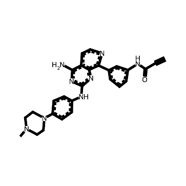 C#CC(=O)Nc1cccc(-c2nccc3c(N)nc(Nc4ccc(N5CCN(C)CC5)cc4)nc23)c1